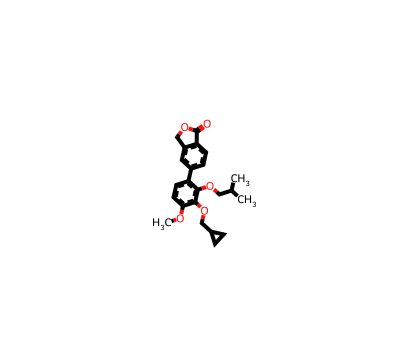 COc1ccc(-c2ccc3c(c2)COC3=O)c(OCC(C)C)c1OCC1CC1